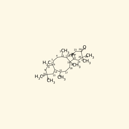 CCCC1C(C)CCC2(C)CCC(C)(C)CC2C(C)CCC1(C)C1CCC(=O)C(C)(C)C1